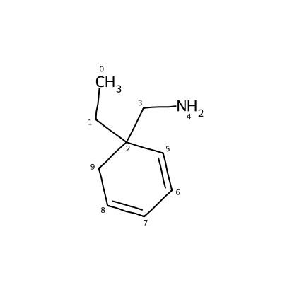 CCC1(CN)C=CC=CC1